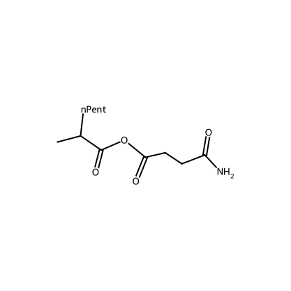 CCCCCC(C)C(=O)OC(=O)CCC(N)=O